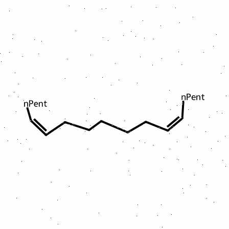 CCCCC/C=C\CCCCC/C=C\CCCCC